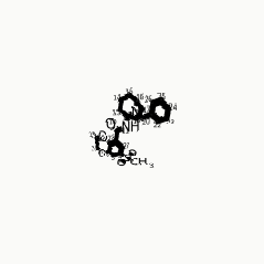 CS(=O)(=O)c1cc2c(c(C(=O)NC34CCCC(CC3)N4Cc3ccccc3)c1)OCCO2